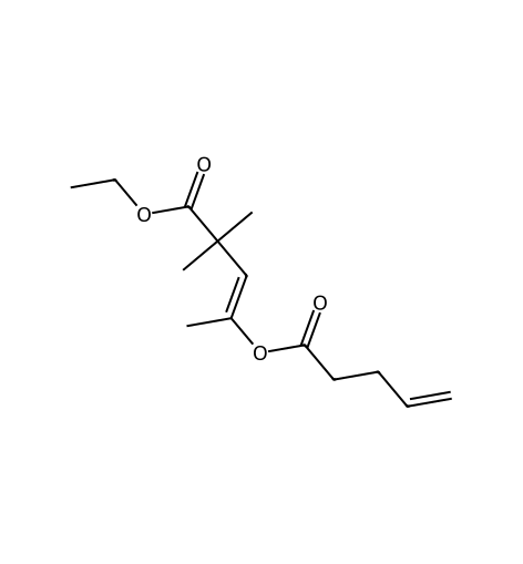 C=CCCC(=O)OC(C)=CC(C)(C)C(=O)OCC